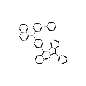 c1ccc(-c2cccc(N(c3ccc(-c4c5ccccc5cc5c(-c6ccccc6)c6ccccc6n45)cc3)c3cccc4ccccc34)c2)cc1